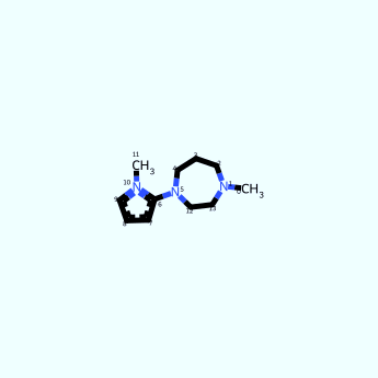 CN1CCCN(c2cccn2C)CC1